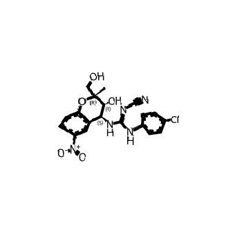 C[C@]1(CO)Oc2ccc([N+](=O)[O-])cc2[C@H](NC(=NC#N)Nc2ccc(Cl)cc2)[C@H]1O